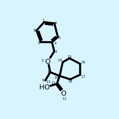 CC(OCc1ccccc1)C1(C(=O)O)CCCCC1